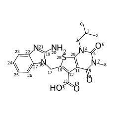 CC(C)Cn1c(=O)n(C)c(=O)c2c(C(=O)O)c(Cn3c(N)nc4ccccc43)sc21